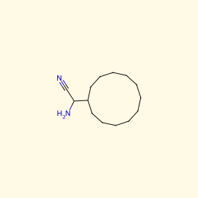 N#CC(N)C1CCCCCCCCCCC1